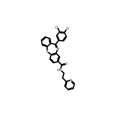 O=C(NCCc1ccccn1)c1ccc2c(c1)N=C(c1ccc(Cl)c(Cl)c1)c1ccccc1S2